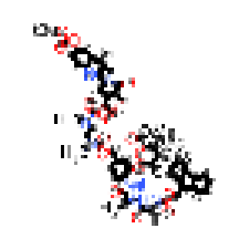 CCc1c2c(nc3ccc(OC(=O)OC(C)(C)C)cc13)-c1cc3c(c(=O)n1C2)COC(=O)[C@@]3(CC)OC(=O)N(C)CCN(C)C(=O)OCc1ccc(NC(=O)[C@H](C)NC(=O)[C@@H](NC(=O)OCC2c3ccccc3-c3ccccc32)C(C)C)c(O[C@@H]2O[C@H](C(=O)OC)[C@@H](OC(C)=O)[C@H](OC(C)=O)[C@H]2OC(C)=O)c1